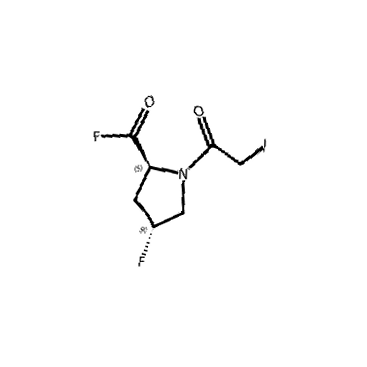 O=C(F)[C@@H]1C[C@@H](F)CN1C(=O)CI